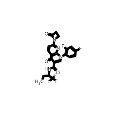 CCC(NC(=O)c1cn(-c2ccc(F)cc2F)c2nc(N3CCC3=O)ccc2c1=O)C(F)(F)F